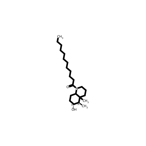 CCCCCCCCCCCC(=O)N1CCCC2(C)C1CC[C@@H](O)[C@@H]2C